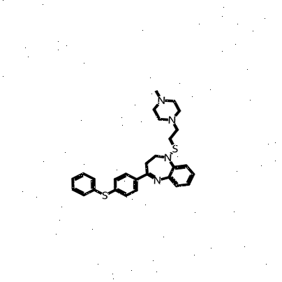 CN1CCN(CCSN2CCC(c3ccc(Sc4ccccc4)cc3)=Nc3ccccc32)CC1